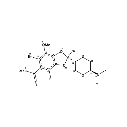 COC(=O)c1c(C)c2c(c(OC)c1Br)OC(C)([C@H]1CC[C@H](N(C)C)CC1)O2